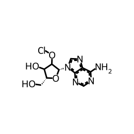 Nc1ncnc2c1ncn2[C@@H]1O[C@H](CO)C(O)C1OCl